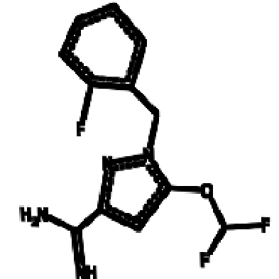 N=C(N)c1cc(OC(F)F)n(Cc2ccccc2F)n1